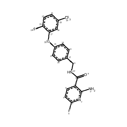 Nc1nc(F)ccc1C(=O)NCc1ccc(Oc2cc(C(F)(F)F)ccc2F)cc1